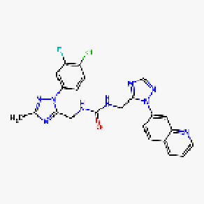 Cc1nc(CNC(=O)NCc2ncnn2-c2ccc3cccnc3c2)n(-c2ccc(Cl)c(F)c2)n1